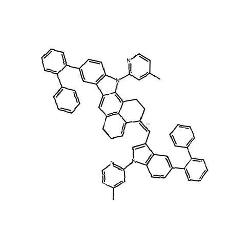 Cc1ccnc(-n2cc(/C=C3/CCc4c5c(cc6c7cc(-c8ccccc8-c8ccccc8)ccc7n(-c7cc(C)ccn7)c46)CCC=C35)c3cc(-c4ccccc4-c4ccccc4)ccc32)c1